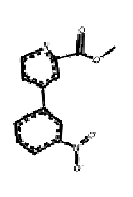 COC(=O)c1cc(-c2cccc([N+](=O)[O-])c2)ccn1